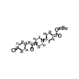 CCCCOC(=O)c1ccc(N2CCN(C(=O)Cc3ccc(Cl)cc3)CC2)cc1